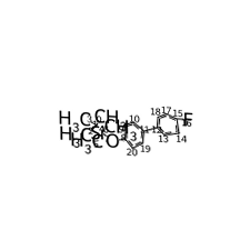 CC(C)(C)[Si](C)(C)Oc1ccc(-c2ccc(F)cc2)cc1